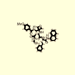 COc1ccc(C(=O)NCC2(N[C@@H](CC(=O)NCC(C)(C)C)C(=O)N[C@@H](CCc3ccccc3)C(=O)N[C@@H]3CCCc4ccccc43)COC2)cc1